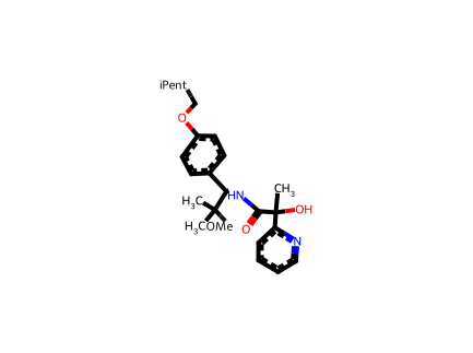 CCCC(C)COc1ccc([C@@H](NC(=O)C(C)(O)c2ccccn2)C(C)(C)OC)cc1